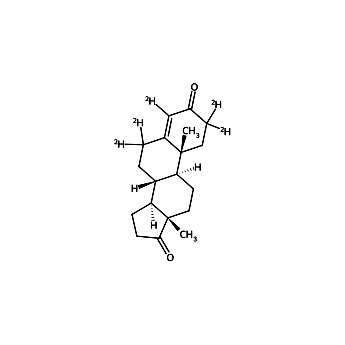 [2H]C1=C2C([2H])([2H])C[C@@H]3[C@H](CC[C@]4(C)C(=O)CC[C@@H]34)[C@@]2(C)CC([2H])([2H])C1=O